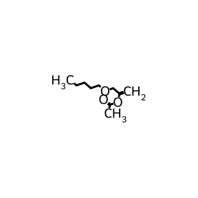 C=C(COCCCCC)OC(C)=O